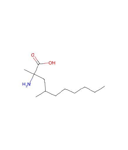 CCCCCCC(C)CC(C)(N)C(=O)O